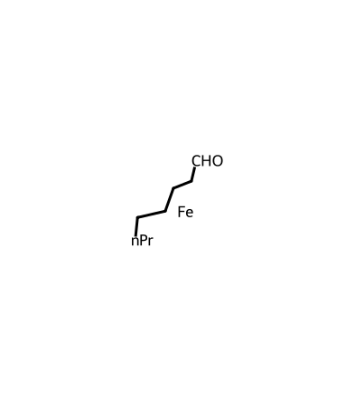 CCCCCCCC=O.[Fe]